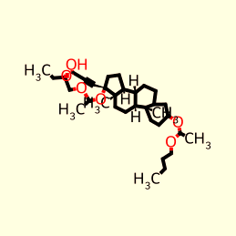 CCCCOC(C)OC1CC[C@@]2(C)C(CC[C@@H]3[C@@H]2CC[C@@]2(C)[C@H]3CC[C@@]2(C#CC(=O)O)OC(C)OCCCC)C1